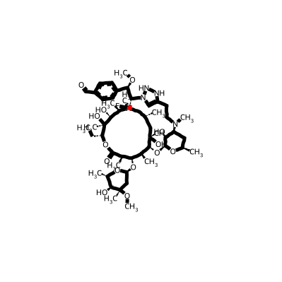 CC[C@H]1OC(=O)[C@H](C)[C@@H](O[C@H]2C[C@@](C)(OC)[C@@H](O)[C@H](C)O2)[C@H](C)[C@@H](O[C@@H]2O[C@H](C)C[C@H](N(C)CCC3=CN([C@H](CF)[C@H](OC)c4ccc(C=O)cc4)NN3)[C@H]2O)[C@](C)(O)C[C@@H](C)CN(C)[C@H](C)[C@@H](O)[C@]1(C)O